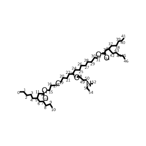 CCCCCC(CCCCC)CC(=O)OCCCCCCCCC(CCCCCCCCOC(=O)CC(CCCCC)CCCCC)OCCCN(C)CC